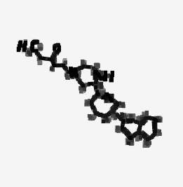 CCC(=O)CCCN1CCNC(C2=NC=C(c3ccc4ccccc4c3)CCC2)C1